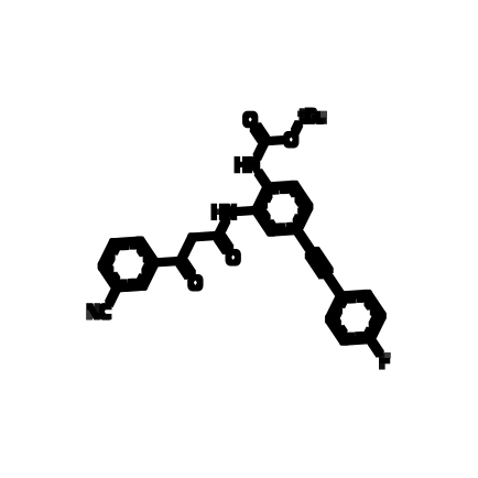 CC(C)(C)OC(=O)Nc1ccc(C#Cc2ccc(F)cc2)cc1NC(=O)CC(=O)c1cccc(C#N)c1